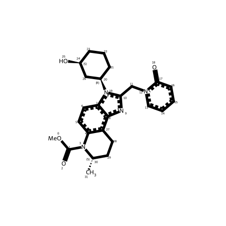 COC(=O)N1c2ccc3c(nc(Cn4ccccc4=O)n3[C@@H]3CCC[C@H](O)C3)c2CC[C@@H]1C